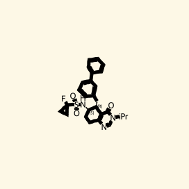 CC(C)n1cnc2c(c1=O)[C@@H](Cc1cccc(-c3ccccc3)c1)[C@@H](NS(=O)(=O)C1(F)CC1)CC2